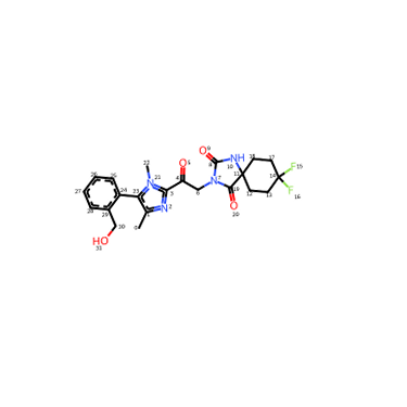 Cc1nc(C(=O)CN2C(=O)NC3(CCC(F)(F)CC3)C2=O)n(C)c1-c1ccccc1CO